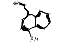 CNCc1ccc(C(=O)O)c2ccccc12